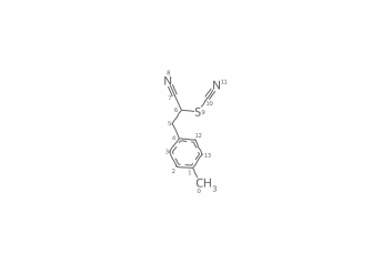 Cc1ccc(CC(C#N)SC#N)cc1